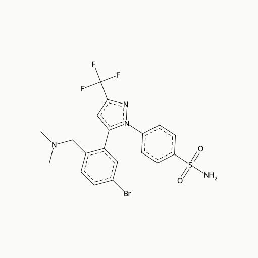 CN(C)Cc1ccc(Br)cc1-c1cc(C(F)(F)F)nn1-c1ccc(S(N)(=O)=O)cc1